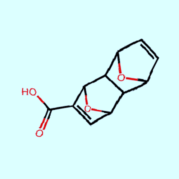 O=C(O)C1=CC2OC1C1C3C=CC(O3)C21